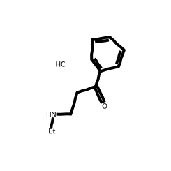 CCNCCC(=O)c1ccccc1.Cl